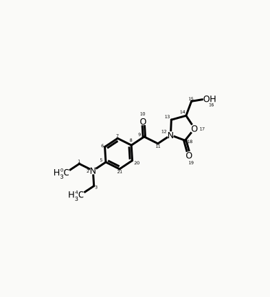 CCN(CC)c1ccc(C(=O)CN2CC(CO)OC2=O)cc1